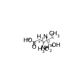 CCC(N)(C(C)O)C(N)CC(=O)O